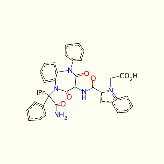 CC(C)C(C(N)=O)(c1ccccc1)N1C(=O)C(NC(=O)c2cc3ccccc3n2CC(=O)O)C(=O)N(c2ccccc2)c2ccccc21